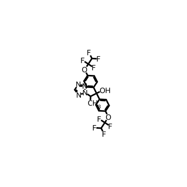 CC(n1ncnn1)C(O)(c1ccc(OC(F)(F)C(F)F)cc1)c1ccc(OC(F)(F)C(F)F)cc1